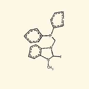 CN1c2ccccc2N(CP(c2ccccc2)c2ccccc2)C1I